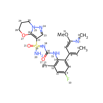 C=N/C(=C\C(=C/C)c1cc(F)cc(C(C)C)c1NC(=O)N=S(N)(=O)c1cnn2c1OCCC2)OC